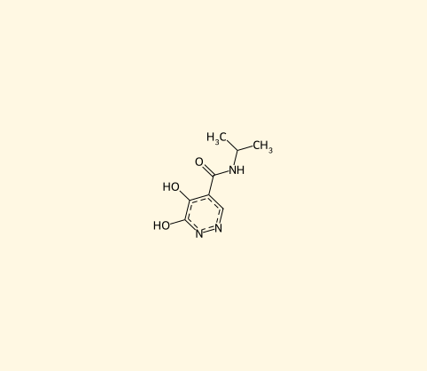 CC(C)NC(=O)c1cnnc(O)c1O